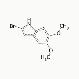 COc1cc2cc(Br)[nH]c2cc1OC